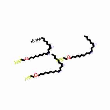 CCCCC/C=C\C/C=C\CCCCCCCCOCCS.CCCCC/C=C\C/C=C\CCCCCCCCOCCS.CCCCC/C=C\C/C=C\CCCCCCCCOCCS.[CH3][SnH]